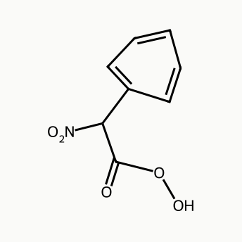 O=C(OO)C(c1ccccc1)[N+](=O)[O-]